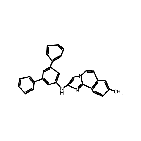 Cc1ccc2c(ccn3cc(Nc4cc(-c5ccccc5)cc(-c5ccccc5)c4)nc23)c1